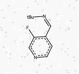 CC(C)(C)/N=C\c1ccncc1F